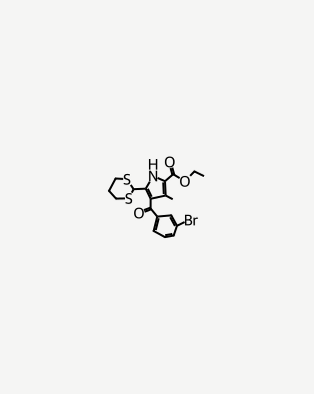 CCOC(=O)c1[nH]c(C2SCCCS2)c(C(=O)c2cccc(Br)c2)c1C